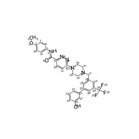 COc1ccc(NC(=O)c2ccc(N3CCN(Cc4cc(-c5cccc(O)c5)cc(C(F)(F)F)c4)CC3)nn2)cc1